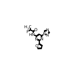 CC(F)C(=O)Nc1cc(-n2cncn2)nc(-c2ccco2)n1